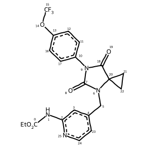 CCOC(=O)Nc1cc(CN2C(=O)N(c3ccc(OC(F)(F)F)cc3)C(=O)C23CC3)ccn1